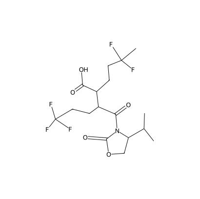 CC(C)C1COC(=O)N1C(=O)C(CCC(F)(F)F)C(CCC(C)(F)F)C(=O)O